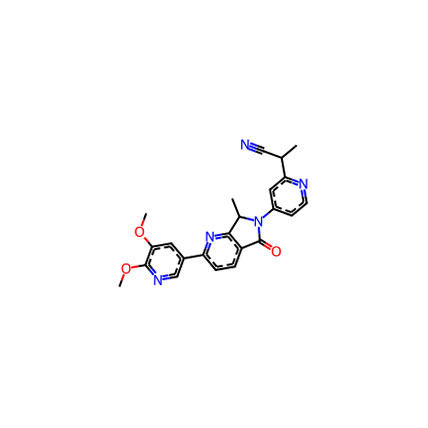 COc1cc(-c2ccc3c(n2)C(C)N(c2ccnc(C(C)C#N)c2)C3=O)cnc1OC